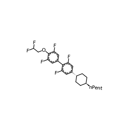 CCCCC[C@H]1CC[C@H](c2cc(F)c(-c3cc(F)c(OCC(F)F)c(F)c3)c(F)c2)CC1